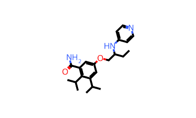 CCC(COc1cc(C(N)=O)c(C(C)C)c(C(C)C)c1)Nc1ccncc1